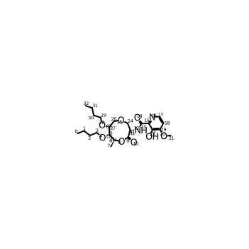 CCCCO[C@H]1[C@H](C)OC(=O)[C@@H](NC(=O)c2nccc(OC)c2O)COC[C@@H]1OCCCC